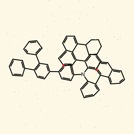 c1ccc(-c2ccc(-c3ccc(N(c4ccccc4-c4cccc5ccccc45)c4ccccc4-c4cccc5cccc(C6CCCCC6)c45)cc3)cc2-c2ccccc2)cc1